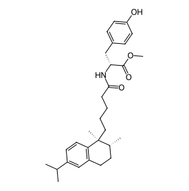 COC(=O)[C@@H](Cc1ccc(O)cc1)NC(=O)CCCC[C@]1(C)c2ccc(C(C)C)cc2CC[C@H]1C